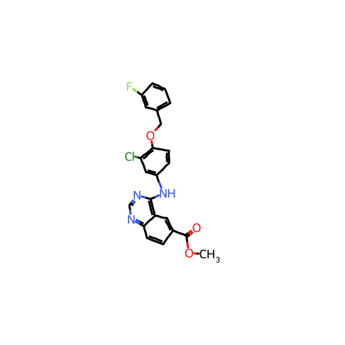 COC(=O)c1ccc2ncnc(Nc3ccc(OCc4cccc(F)c4)c(Cl)c3)c2c1